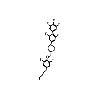 CCCCCc1cc(F)c(OCC2CCC(c3cc(F)c(-c4cc(F)c(F)c(F)c4)c(F)c3)CC2)c(F)c1